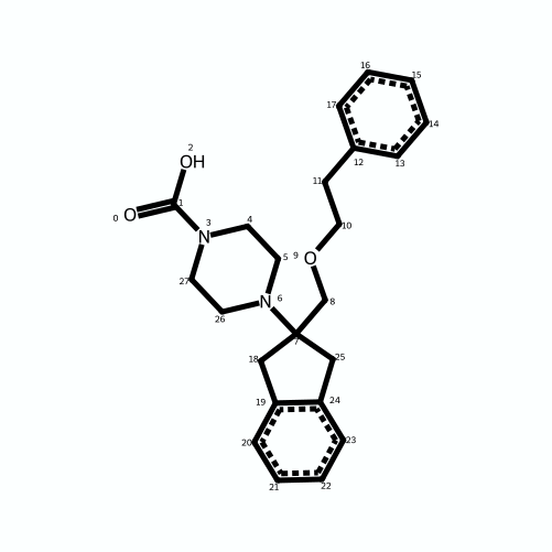 O=C(O)N1CCN(C2(COCCc3ccccc3)Cc3ccccc3C2)CC1